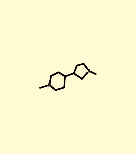 CN1CCC(C2CCN(C)C2)CC1